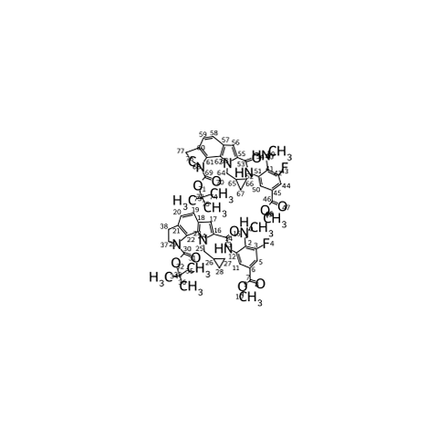 CNc1c(F)cc(C(=O)OC)cc1NC(=O)c1cc2ccc3c(c2n1CC1CC1)N(C(=O)OC(C)(C)C)CC3.CNc1c(F)cc(C(=O)OC)cc1NC(=O)c1cc2ccc3c(c2n1CC1CC1)N(C(=O)OC(C)(C)C)CC3